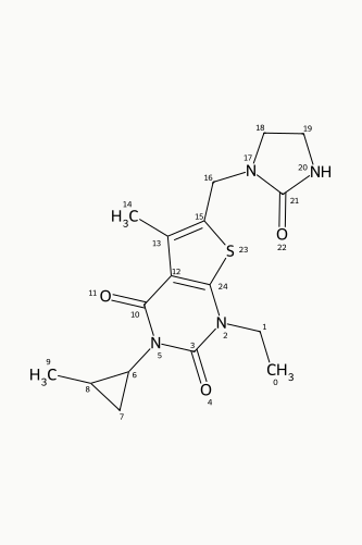 CCn1c(=O)n(C2CC2C)c(=O)c2c(C)c(CN3CCNC3=O)sc21